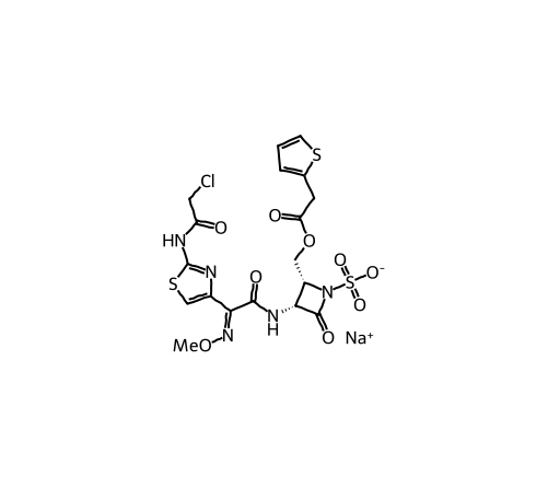 CON=C(C(=O)N[C@H]1C(=O)N(S(=O)(=O)[O-])[C@H]1COC(=O)Cc1cccs1)c1csc(NC(=O)CCl)n1.[Na+]